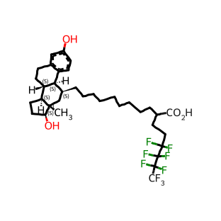 C[C@]12C[C@H](CCCCCCCCCC(CCC(F)(F)C(F)(F)C(F)(F)C(F)(F)F)C(=O)O)[C@@H]3c4ccc(O)cc4CC[C@H]3[C@@H]1CC[C@@H]2O